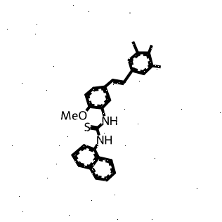 COc1ccc(C=Cc2cc(C)c(C)c(C)c2)cc1NC(=S)Nc1cccc2ccccc12